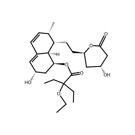 CCOC(CC)(CC)C(=O)O[C@H]1C[C@H](O)C=C2C=C[C@H](C)[C@H](CC[C@@H]3C[C@@H](O)CC(=O)O3)[C@H]21